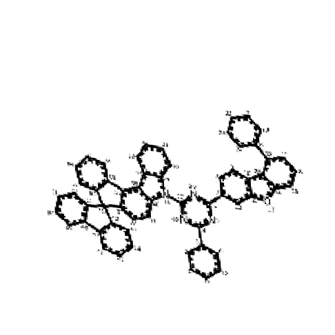 c1ccc(-c2nc(-c3ccc4c(c3)oc3cccc(-c5ccccc5)c34)nc(-n3c4ccccc4c4c5c(ccc43)C3(c4ccccc4-c4ccccc43)c3ccccc3-5)n2)cc1